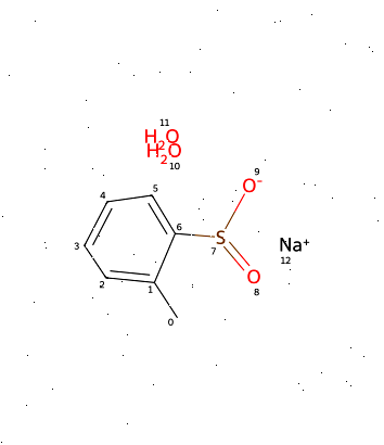 Cc1ccccc1S(=O)[O-].O.O.[Na+]